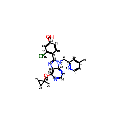 Cc1ccnc(Cn2c(-c3ccc(O)cc3Cl)nc3c(OC4(C)CC4)ncnc32)c1